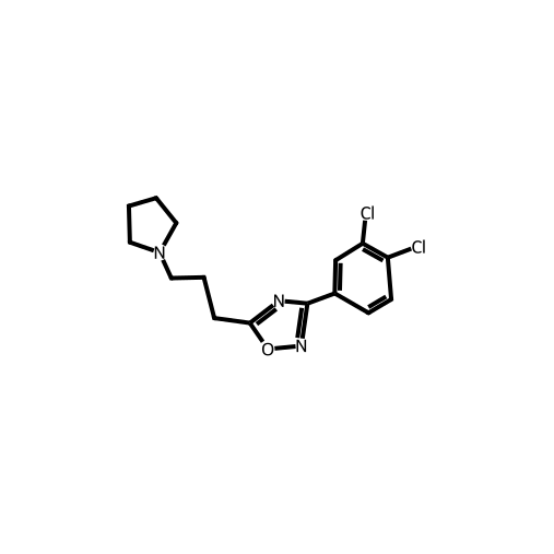 Clc1ccc(-c2noc(CCCN3CCCC3)n2)cc1Cl